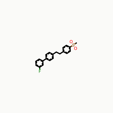 CS(=O)(=O)c1ccc(CCc2ccc(-c3cccc(F)c3)cc2)cc1